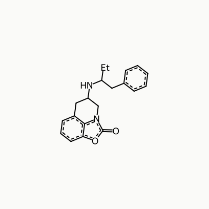 CCC(Cc1ccccc1)NC1Cc2cccc3oc(=O)n(c23)C1